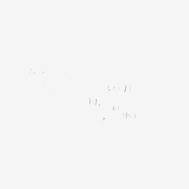 CC(=O)OC1(CCSCCC(NC(=O)OC(C)(C)C)C(=O)O)CCC1